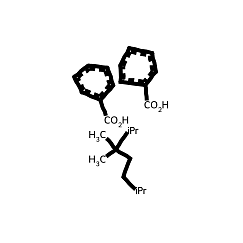 CC(C)CCC(C)(C)C(C)C.O=C(O)c1ccccc1.O=C(O)c1ccccc1